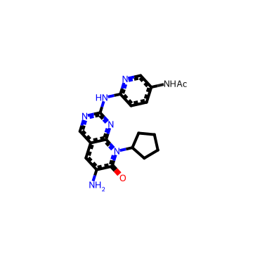 CC(=O)Nc1ccc(Nc2ncc3cc(N)c(=O)n(C4CCCC4)c3n2)nc1